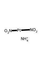 O=[N+]([O-])[Pt][N+](=O)[O-].[NH4+]